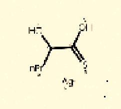 CCCC(O)C(O)=S.[Ag]